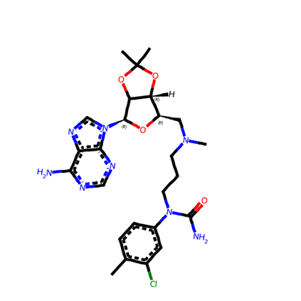 Cc1ccc(N(CCCN(C)C[C@H]2O[C@@H](n3cnc4c(N)ncnc43)C3OC(C)(C)O[C@@H]32)C(N)=O)cc1Cl